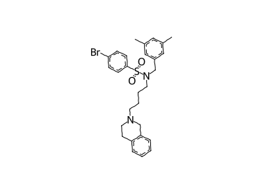 Cc1cc(C)cc(CN(CCCCN2CCc3ccccc3C2)S(=O)(=O)c2ccc(Br)cc2)c1